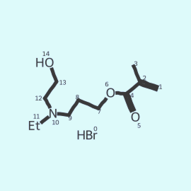 Br.C=C(C)C(=O)OCCCN(CC)CCO